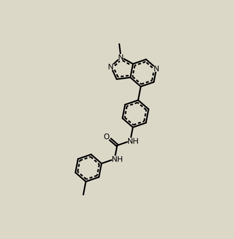 Cc1cccc(NC(=O)Nc2ccc(-c3cncc4c3cnn4C)cc2)c1